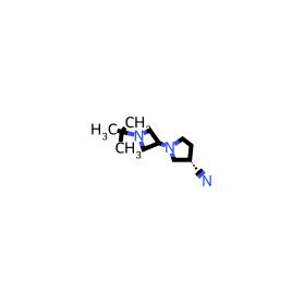 CC(C)(C)N1CC(N2CC[C@H](C#N)C2)C1